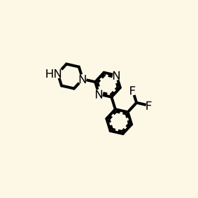 FC(F)c1ccccc1-c1cncc(N2CCNCC2)n1